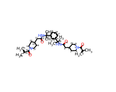 C=C(C)C(=O)N1CCC(CC(=O)NC(C)(C)c2cccc(C(C)(C)NC(=O)CC3CCN(C(=O)C(=C)C)CC3)c2)CC1